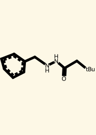 CC(C)(C)CC(=O)NNCc1ccccc1